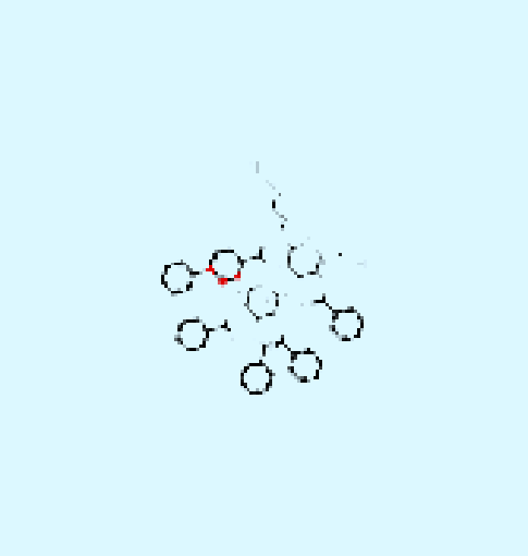 [N-]=[N+]=NCCO[C@H]1O[C@H](CO)[C@@H](OC(=O)c2ccccc2)[C@H](O[C@H]2O[C@H](COC(=O)c3ccccc3)[C@@H](OC(=O)c3ccccc3)[C@H](OC(=O)c3ccccc3)[C@@H]2OC(=O)c2ccccc2)[C@@H]1OC(=O)c1ccccc1